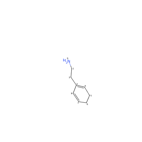 NCCC1=CCCC=C1